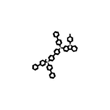 CC1C=CC(n2c3c(c4ccc(N(c5ccc(-c6ccccc6)cc5)c5ccc(-c6ccc(N(c7ccc(-c8ccccc8)cc7)C7(C)C=CC(c8ccccc8)=CC7)cc6)cc5)cc42)CCC=C3)=CC1